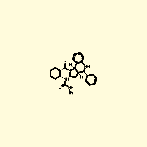 CC(C)NC(=O)N[C@@H]1CCCC[C@@H]1C(=O)N1CC[C@@H]2[C@H](C3C=CC=CC3)Nc3ccccc3[C@@H]21